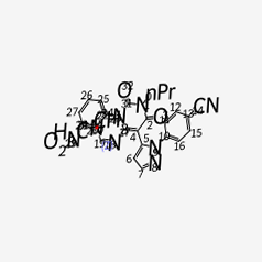 CCCn1c(=O)c(-c2ccnn2-c2ccc(C#N)cc2)c(/N=C\N(C)C)n(-c2cccc([N+](=O)[O-])c2)c1=O